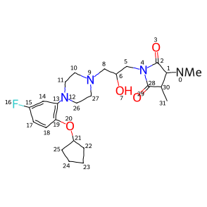 CNC1C(=O)N(CC(O)CN2CCN(c3cc(F)ccc3OC3CCCC3)CC2)C(=O)C1C